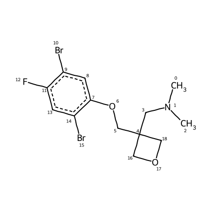 CN(C)CC1(COc2cc(Br)c(F)cc2Br)COC1